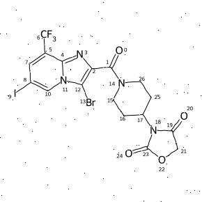 O=C(c1nc2c(C(F)(F)F)cc(I)cn2c1Br)N1CCC(N2C(=O)COC2=O)CC1